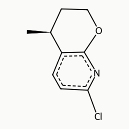 C[C@H]1CCOc2nc(Cl)ccc21